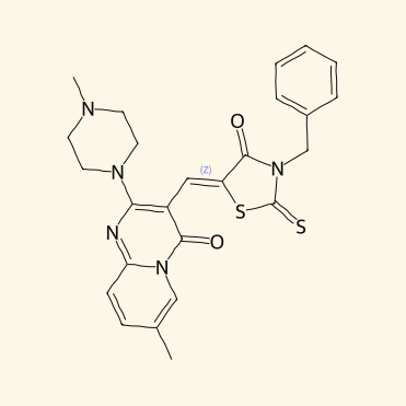 Cc1ccc2nc(N3CCN(C)CC3)c(/C=C3\SC(=S)N(Cc4ccccc4)C3=O)c(=O)n2c1